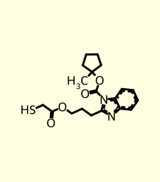 CC1(OC(=O)n2c(CCCOC(=O)CS)nc3ccccc32)CCCC1